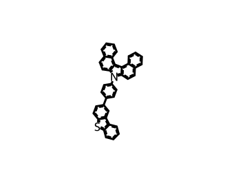 c1ccc2c(c1)ccc1c2c2c3ccccc3ccc2n1-c1ccc(-c2ccc3sc4ccccc4c3c2)cc1